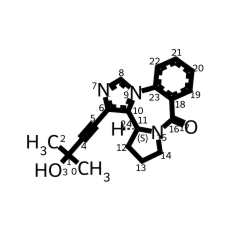 CC(C)(O)C#Cc1ncn2c1[C@@H]1CCCN1C(=O)c1ccccc1-2